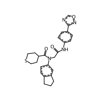 O=C(CN(C(=O)C1CCSCC1)c1ccc2c(c1)CCC2)Nc1ccc(-c2ncon2)cc1